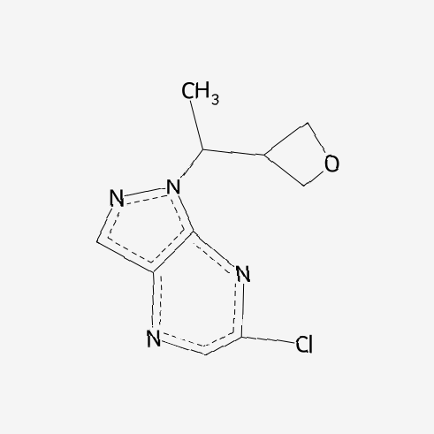 CC(C1COC1)n1ncc2ncc(Cl)nc21